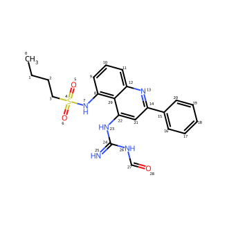 CCCCS(=O)(=O)Nc1cccc2nc(-c3ccccc3)cc(NC(=N)NC=O)c12